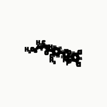 CSCCC(C)NC(=O)c1ccc(C2=NOC(c3cc(Cl)cc(Cl)c3)(C(F)(F)F)C2)cc1C